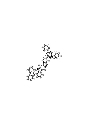 c1ccc(C2=NC(c3ccc4c(c3)sc3cc5c(cc34)sc3c(-n4c6ccccc6c6ccccc64)cccc35)NC(c3ccccc3)=N2)cc1